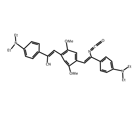 CCN(CC)c1ccc(/C(C#N)=C/c2cc(OC)c(/C=C(\N=C=O)c3ccc(N(CC)CC)cc3)cc2OC)cc1